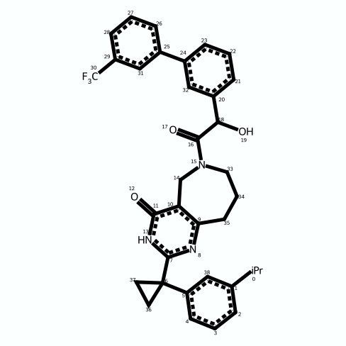 CC(C)c1cccc(C2(c3nc4c(c(=O)[nH]3)CN(C(=O)C(O)c3cccc(-c5cccc(C(F)(F)F)c5)c3)CCC4)CC2)c1